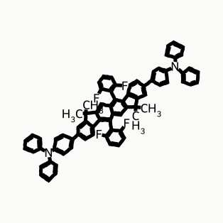 CC1(C)c2cc(-c3ccc(N(c4ccccc4)c4ccccc4)cc3)ccc2-c2c1cc1c(-c3c(F)cccc3F)c3c(cc1c2-c1c(F)cccc1F)C(C)(C)c1cc(-c2ccc(N(c4ccccc4)c4ccccc4)cc2)ccc1-3